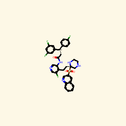 O=C(C[C@@H](c1ccc(F)cc1)c1cc(F)cc(F)c1)Nc1cncc(F)c1CC[C@]1(S(=O)(=O)c2cnc3ccccc3c2)CNCCN1